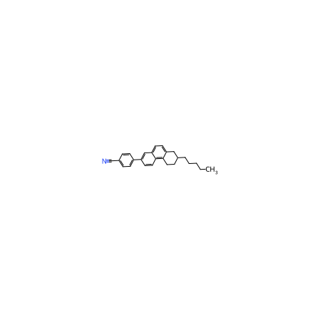 CCCCCC1CCc2c(ccc3cc(-c4ccc(C#N)cc4)ccc23)C1